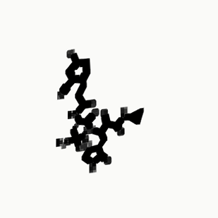 CC(C)(C)C[C@H](NC(=O)CCc1ccc(Cl)cc1C#N)C(=O)NC(C[C@@H]1CCNC1=O)C(=O)C(=O)NC1CC1